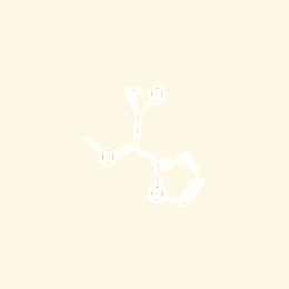 COC(c1ccco1)C1CO1